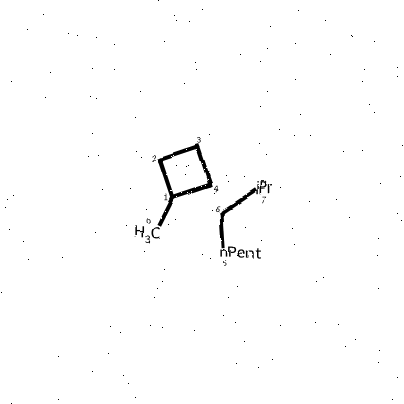 CC1CCC1.CCCCCCC(C)C